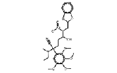 CCC(C)C(C#N)(CCC(O)C(CC1Oc2ccccc2O1)[N+](=O)[O-])c1cc(OC)c(OC)c(OC)c1OC